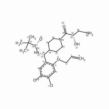 C=CCOc1cc(Cl)c(Cl)cc1[C@H](N[S@@+]([O-])C(C)(C)C)C1CCN(C(=O)[C@@H](O)CN)CC1